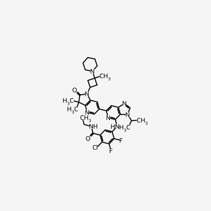 CCNC(=O)c1cc(Nc2nc(-c3cnc4c(c3)N(C3CC(C)(N5CCCCC5)C3)C(=O)C4(C)C)cc3ncn(C(C)C)c23)c(F)c(F)c1Cl